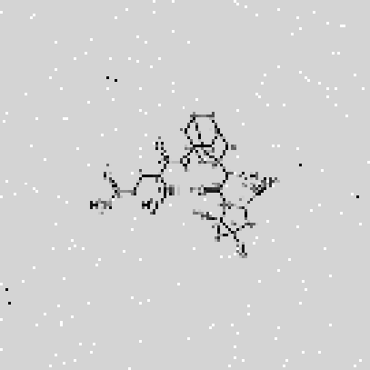 CN[C@@H](CCC(N)=O)C(=O)OC12CC3CC(C1)CC([C@H](N)C(=O)N1[C@H](C#N)C[C@@H]4C[C@@H]41)(C3)C2